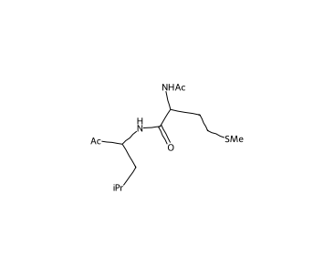 CSCCC(NC(C)=O)C(=O)NC(CC(C)C)C(C)=O